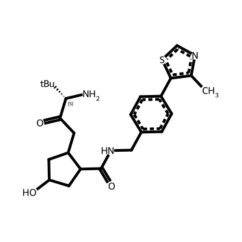 Cc1ncsc1-c1ccc(CNC(=O)C2CC(O)CC2CC(=O)[C@@H](N)C(C)(C)C)cc1